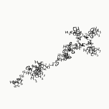 Cc1cc(OCCCC(=O)NCCNC(=O)[C@H](CS(=O)(=O)O)NC(=O)[C@H](CS(=O)(=O)O)NC(=O)CN2CCN(CC(=O)OC(C)(C)C)CCN(CC(=O)OC(C)(C)C)CCN(CC(=O)OC(C)(C)C)CC2)cc(C)c1S(=O)(=O)N[C@@H](CNC(=O)CCCCc1ccc2c(n1)NCCC2)C(=O)OC(C)(C)C